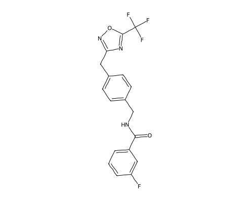 O=C(NCc1ccc(Cc2noc(C(F)(F)F)n2)cc1)c1cccc(F)c1